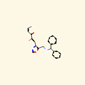 C/C=C\C(=O)/C(O)=C/c1ncoc1CNC(c1ccccc1)c1ccccc1